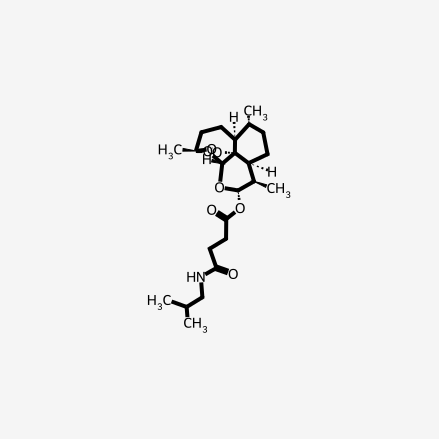 CC(C)CNC(=O)CCC(=O)O[C@@H]1O[C@@H]2O[C@@]3(C)CC[C@H]4[C@H](C)CC[C@@H]([C@H]1C)[C@@]24OO3